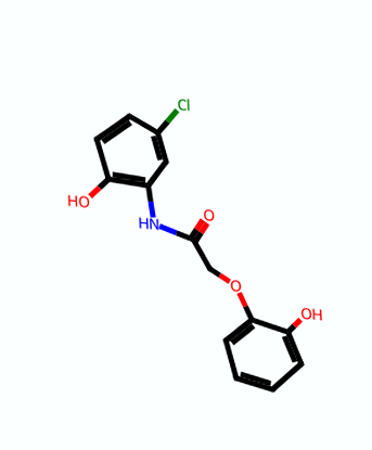 O=C(COc1ccccc1O)Nc1cc(Cl)ccc1O